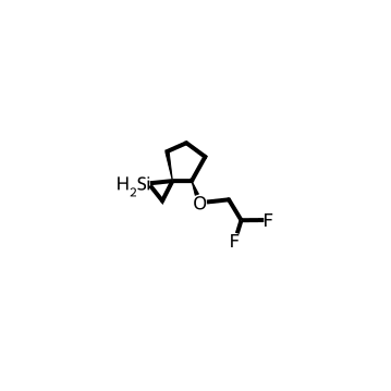 FC(F)CO[C@@H]1CCC[C@]12C[SiH2]2